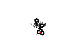 COC(C(=O)NCC(Cc1ccccc1)(c1cc(F)cc(C(F)(F)F)c1)c1ccc(F)cn1)(c1ccccc1)C(F)(F)F